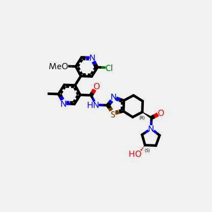 COc1cnc(Cl)cc1-c1cc(C)ncc1C(=O)Nc1nc2c(s1)C[C@H](C(=O)N1CC[C@H](O)C1)CC2